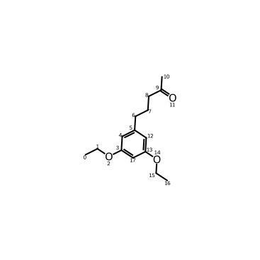 CCOc1cc(CCCC(C)=O)cc(OCC)c1